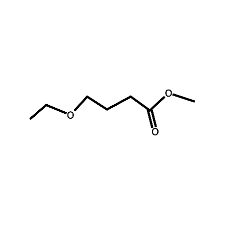 CCOCCCC(=O)OC